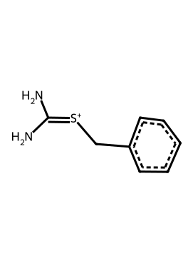 NC(N)=[S+]Cc1ccccc1